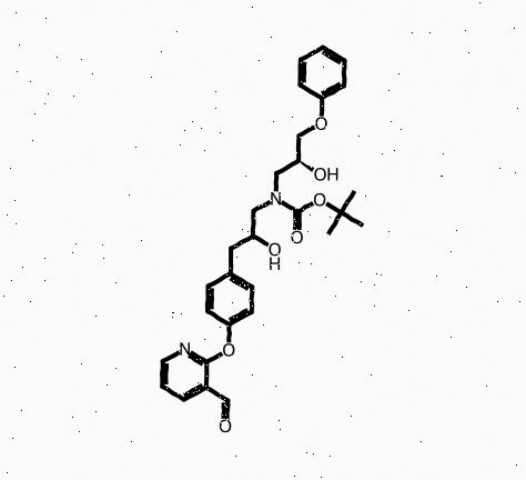 CC(C)(C)OC(=O)N(CC(O)Cc1ccc(Oc2ncccc2C=O)cc1)C[C@H](O)COc1ccccc1